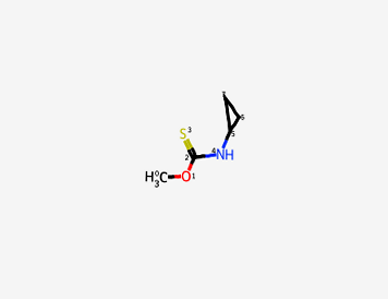 COC(=S)NC1CC1